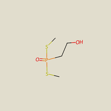 CSP(=O)(CCO)SC